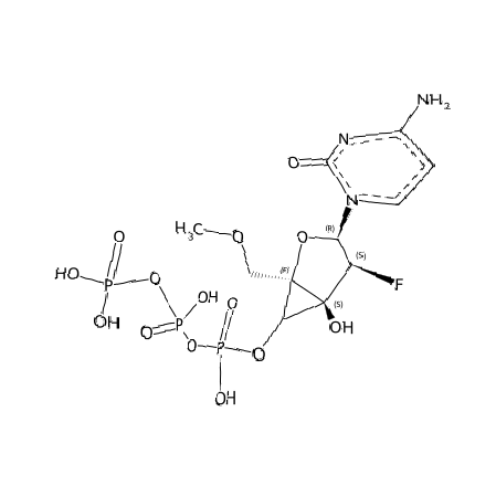 COC[C@]12O[C@@H](n3ccc(N)nc3=O)[C@@H](F)[C@]1(O)C2OP(=O)(O)OP(=O)(O)OP(=O)(O)O